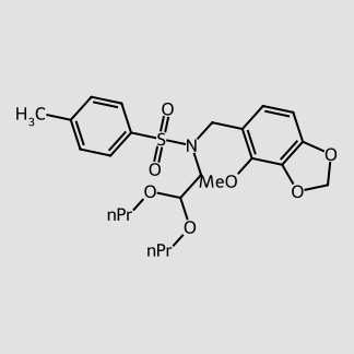 CCCOC(CN(Cc1ccc2c(c1OC)OCO2)S(=O)(=O)c1ccc(C)cc1)OCCC